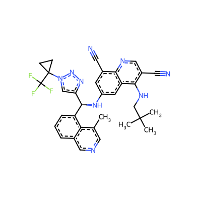 Cc1cncc2cccc([C@H](Nc3cc(C#N)c4ncc(C#N)c(NCC(C)(C)C)c4c3)c3cn(C4(C(F)(F)F)CC4)nn3)c12